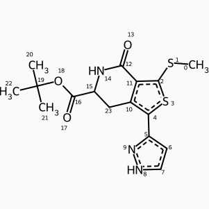 CSc1sc(-c2cc[nH]n2)c2c1C(=O)NC(C(=O)OC(C)(C)C)C2